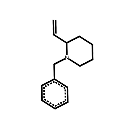 C=CC1CCCCN1Cc1ccccc1